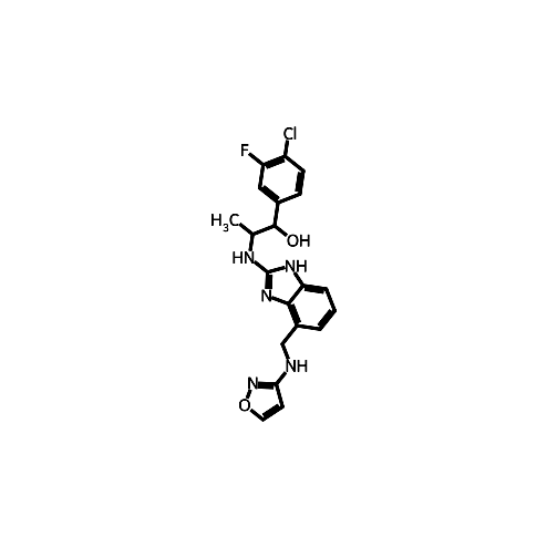 CC(Nc1nc2c(CNc3ccon3)cccc2[nH]1)C(O)c1ccc(Cl)c(F)c1